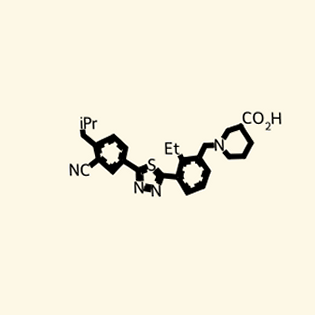 CCc1c(CN2CCC[C@H](C(=O)O)C2)cccc1-c1nnc(-c2ccc(CC(C)C)c(C#N)c2)s1